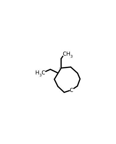 CC[C]1CCCCCCCCC1CC